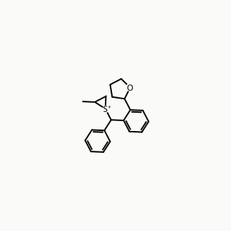 CC1C[S+]1C(c1ccccc1)c1ccccc1C1CCCO1